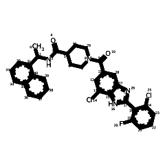 CC(NC(=O)C1CCN(C(=O)c2cc(Cl)c3[nH]c(-c4c(F)cccc4Cl)nc3c2)CC1)c1cccc2ccccc12